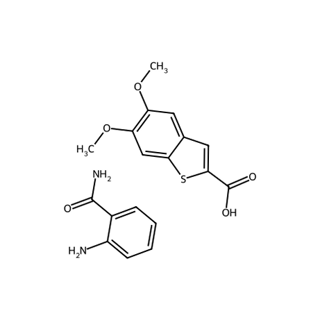 COc1cc2cc(C(=O)O)sc2cc1OC.NC(=O)c1ccccc1N